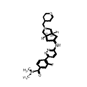 CN(C)C(=O)c1ccc(-c2ccc(NC3C[C@@H]4CN(CC5CCOCC5)C[C@@H]4C3)nn2)c(F)c1